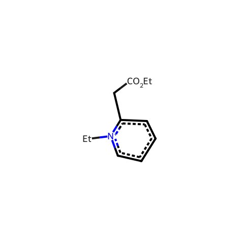 CCOC(=O)Cc1cccc[n+]1CC